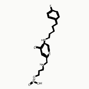 O=[PH](O)OCCCNCc1cc(Cl)c(NCCCCCc2ccc(F)cc2)cn1